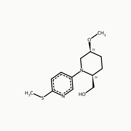 CO[C@H]1CC[C@@H](CO)N(c2ccc(SC)nc2)C1